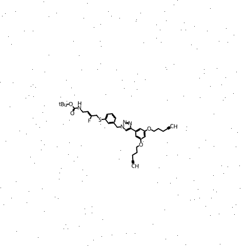 C#CCCCOc1cc(OCCCC#C)cc(-c2cn(Cc3cccc(SC/C(F)=C/CNC(=O)OC(C)(C)C)c3)nn2)c1